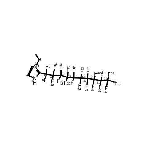 CC[n+]1cc[nH]c1C(F)(F)C(F)(F)C(F)(F)C(F)(F)C(F)(F)C(F)(F)C(F)(F)C(F)(F)C(F)(F)C(F)(F)F